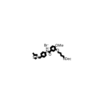 CCCCCCCCCCCCCCOc1cc(C(=O)Nc2ccc(C[n+]3csc(C)c3)cc2)ccc1OC.[Br-]